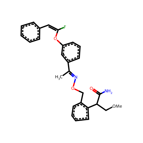 COCC(C(N)=O)c1ccccc1CO/N=C(\C)c1cccc(O/C(F)=C\c2ccccc2)c1